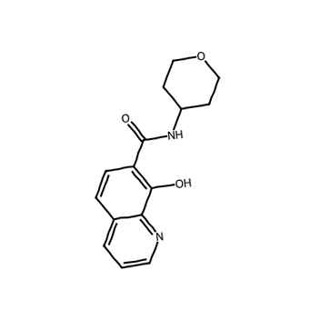 O=C(NC1CCOCC1)c1ccc2cccnc2c1O